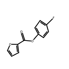 O=C(Oc1ccc(F)cc1)c1ccco1